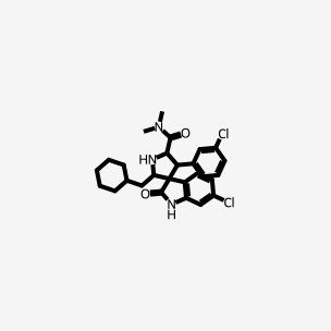 CN(C)C(=O)C1NC(CC2CCCCC2)C2(C(=O)Nc3cc(Cl)ccc32)C1c1cccc(Cl)c1